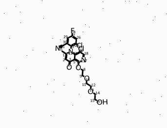 Cc1cc(=O)c2c(OCCOCCOCCO)ncc(Cl)c2n1-c1c(Cl)cc(F)cc1C#N